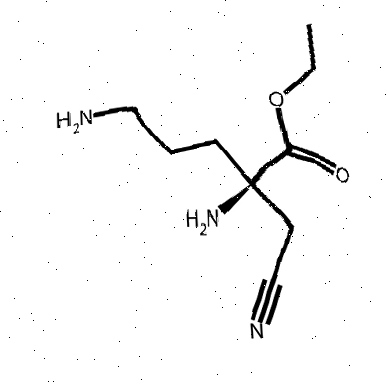 CCOC(=O)[C@](N)(CC#N)CCCN